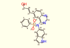 O=S(=O)(c1ccccc1)N(c1ccc2[nH]ccc2c1)c1ncnc2ccc(C=CCO)cc12